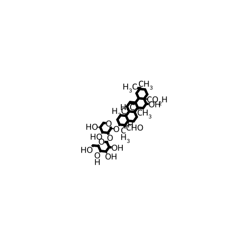 CC1(C)CC[C@]2(C(=O)O)C(O)C[C@]3(C)C(=CCC4C5(C)CC[C@H](O[C@@H]6OC[C@@H](O)[C@H](O)C6O[C@@H]6OC(CO)[C@H](O)[C@H](O)C6O)[C@](C)(C=O)[C@@H]5CCC43C)C2C1